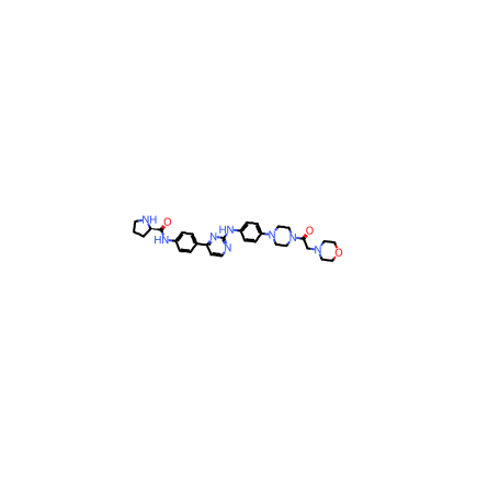 O=C(Nc1ccc(-c2ccnc(Nc3ccc(N4CCN(C(=O)CN5CCOCC5)CC4)cc3)n2)cc1)[C@H]1CCCN1